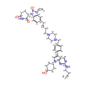 Cn1c(=O)n([C@H]2CCC(=O)NC2=O)c2ccc(COCCN3CCN(Cc4ccc(-c5cn([C@H]6CC[C@H](O)CC6)c6nc(NCCC(F)(F)F)ncc56)cc4)CC3)cc21